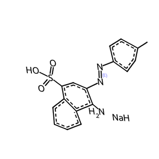 Cc1ccc(/N=N/c2cc(S(=O)(=O)O)c3ccccc3c2N)cc1.[NaH]